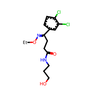 CCO/N=C(\CCC(=O)NCCCO)c1ccc(Cl)c(Cl)c1